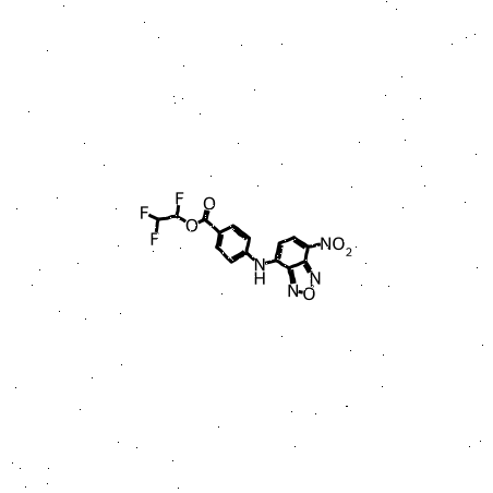 O=C(OC(F)C(F)F)c1ccc(Nc2ccc([N+](=O)[O-])c3nonc23)cc1